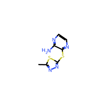 Cc1nnc(Sc2nccnc2N)s1